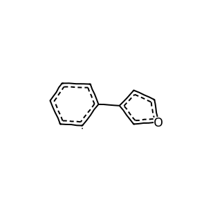 [c]1ccccc1-c1ccoc1